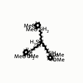 COc1cccc([SiH2]CCCCCCC([SiH3])(CCCCCC[SiH2]c2cccc(OC)c2OC)CCCCCC[SiH2]c2cccc(OC)c2OC)c1OC